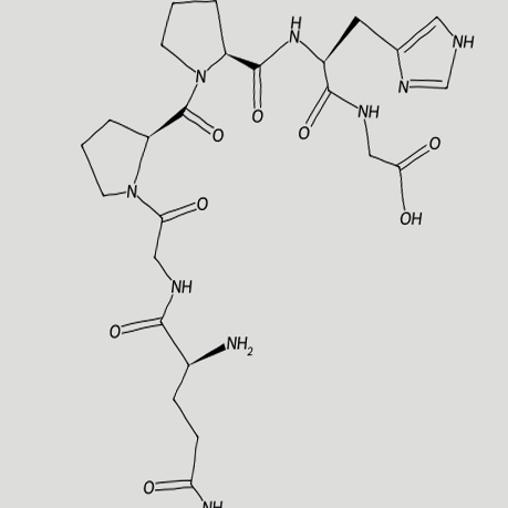 NC(=O)CC[C@H](N)C(=O)NCC(=O)N1CCC[C@H]1C(=O)N1CCC[C@H]1C(=O)N[C@@H](Cc1c[nH]cn1)C(=O)NCC(=O)O